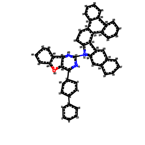 c1ccc(-c2ccc(-c3nc(-n4c5cc6ccccc6cc5c5c6c7ccccc7c7ccccc7c6ccc54)nc4c3oc3ccccc34)cc2)cc1